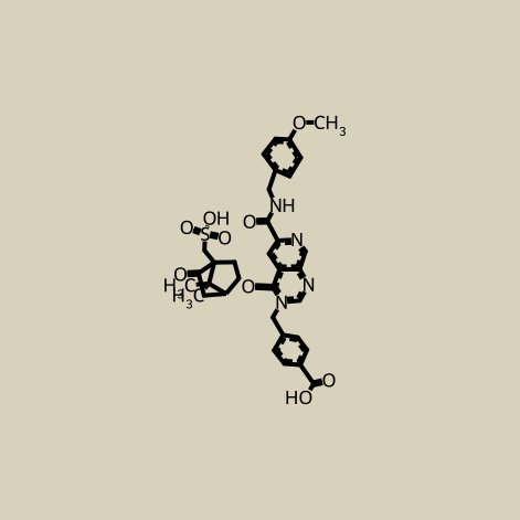 CC1(C)C2CCC1(CS(=O)(=O)O)C(=O)C2.COc1ccc(CNC(=O)c2cc3c(=O)n(Cc4ccc(C(=O)O)cc4)cnc3cn2)cc1